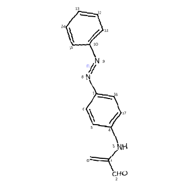 C=C(C=O)Nc1ccc(/N=N/c2ccccc2)cc1